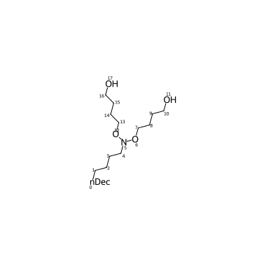 CCCCCCCCCCCCCCN(OCCCCO)OCCCCO